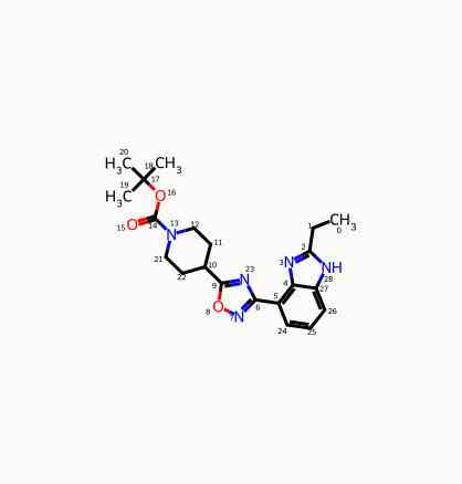 CCc1nc2c(-c3noc(C4CCN(C(=O)OC(C)(C)C)CC4)n3)cccc2[nH]1